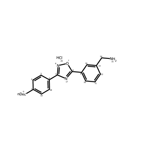 CCCCCCCCCCc1ccc(-c2noc(-c3cccc(CN)c3)n2)cc1.Cl